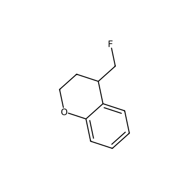 FCC1CCOc2ccccc21